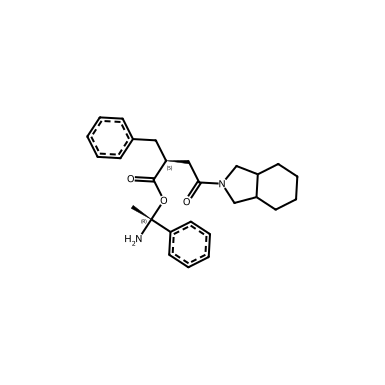 C[C@@](N)(OC(=O)[C@H](CC(=O)N1CC2CCCCC2C1)Cc1ccccc1)c1ccccc1